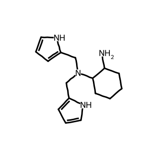 NC1CCCCC1N(Cc1ccc[nH]1)Cc1ccc[nH]1